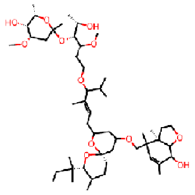 CCC(C)(C)[C@@H]1O[C@]2(CCC1C)CC(OCC1(C)C=C(C)C(O)C3OCC[C@@]31C)CC(C/C=C(\C)C(OCC[C@H](OC)[C@H](OC1(C)C[C@H](OC)[C@H](O)[C@H](C)O1)[C@H](C)O)C(C)C)O2